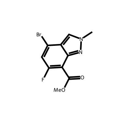 COC(=O)c1c(F)cc(Br)c2cn(C)nc12